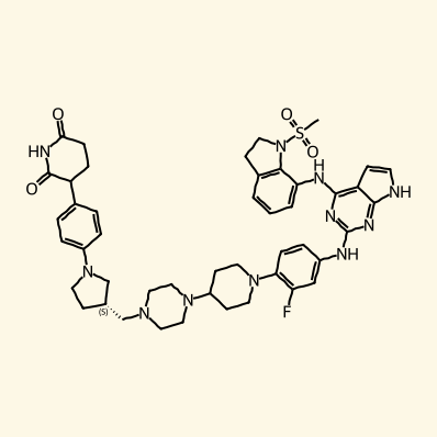 CS(=O)(=O)N1CCc2cccc(Nc3nc(Nc4ccc(N5CCC(N6CCN(C[C@@H]7CCN(c8ccc(C9CCC(=O)NC9=O)cc8)C7)CC6)CC5)c(F)c4)nc4[nH]ccc34)c21